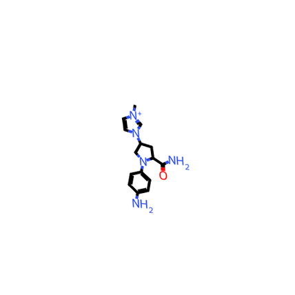 C[n+]1ccn(C2CC(C(N)=O)N(c3ccc(N)cc3)C2)c1